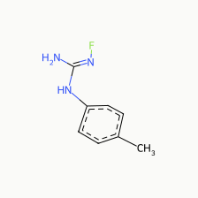 Cc1ccc(NC(N)=NF)cc1